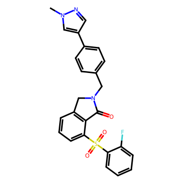 Cn1cc(-c2ccc(CN3Cc4cccc(S(=O)(=O)c5ccccc5F)c4C3=O)cc2)cn1